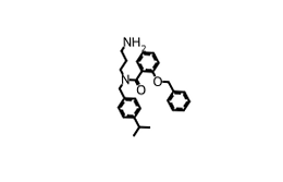 CC(C)c1ccc(CN(CCCN)C(=O)c2ccccc2OCc2ccccc2)cc1